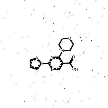 O=C(O)c1cnc(-n2cccn2)nc1N1CCOCC1